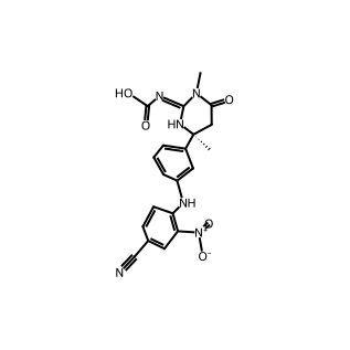 CN1C(=O)C[C@@](C)(c2cccc(Nc3ccc(C#N)cc3[N+](=O)[O-])c2)N/C1=N\C(=O)O